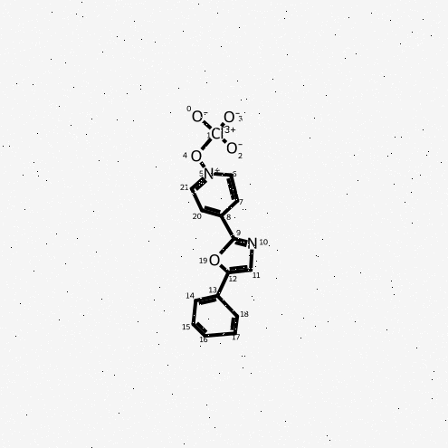 [O-][Cl+3]([O-])([O-])O[n+]1ccc(-c2ncc(-c3ccccc3)o2)cc1